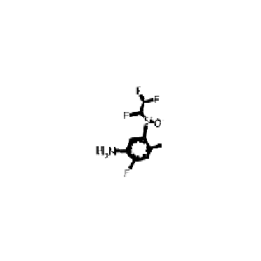 Cc1cc(F)c(N)cc1[S+]([O-])C(F)C(F)F